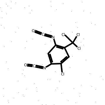 O=C=Nc1cc(N=C=O)c(C(Cl)(Cl)Cl)cc1Cl